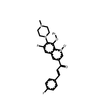 CC(C)Oc1c(N2CCN(C)CC2)c(F)cc2cc(C(=O)C=Cc3ccc(F)cc3)c[n+]([O-])c12